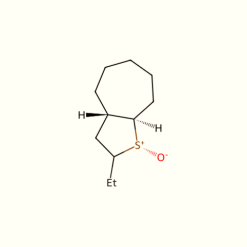 CCC1C[C@@H]2CCCCC[C@H]2[S@+]1[O-]